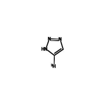 [3H]c1cnn[nH]1